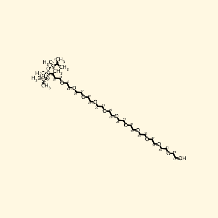 CC(C)[Si](C)(C)O[Si](C)(CCCOCCOCCOCCOCCOCCOCCOCCOCCOCCOCCOCCO)O[SiH](C)C